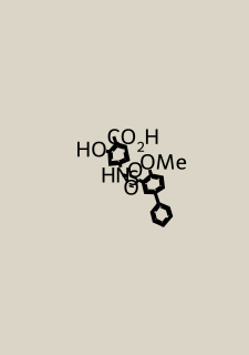 COc1ccc(-c2ccccc2)cc1S(=O)(=O)Nc1ccc(C(=O)O)c(O)c1